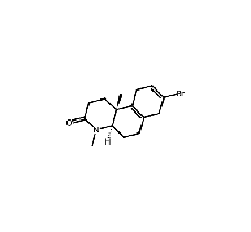 CN1C(=O)CC[C@]2(C)C3=C(CC[C@@H]12)CC(Br)=CC3